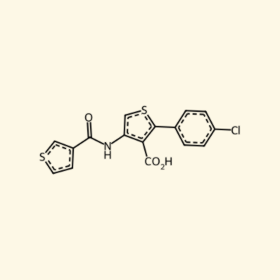 O=C(Nc1csc(-c2ccc(Cl)cc2)c1C(=O)O)c1ccsc1